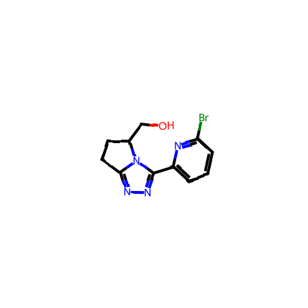 OCC1CCc2nnc(-c3cccc(Br)n3)n21